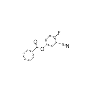 N#Cc1cc(OC(=O)c2ccccc2)ccc1F